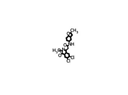 Cc1cc2cc(NC(=O)Cc3nn(C)c(=O)c4cc(Cl)c(Cl)cc34)ccc2o1